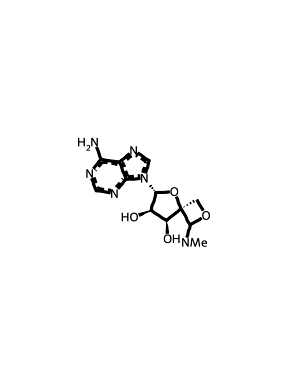 CNC1OC[C@]12O[C@@H](n1cnc3c(N)ncnc31)[C@H](O)[C@@H]2O